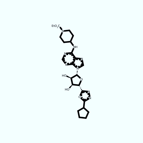 CCOC(=O)N1CCC(Nc2ncnc3c2ncn3[C@@H]2O[C@H](c3nnc(C4CCCC4)o3)[C@@H](O)[C@H]2O)CC1